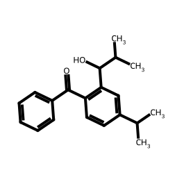 CC(C)c1ccc(C(=O)c2ccccc2)c(C(O)C(C)C)c1